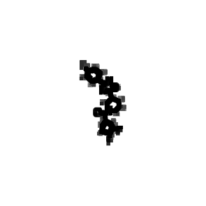 O=C(c1ccc(F)c(F)c1)N1CCCC(c2nc(-c3ccc(F)cc3)no2)C1